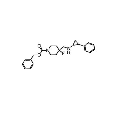 O=C(OCc1ccccc1)N1CCC(F)(CNC2CC2c2ccccc2)CC1